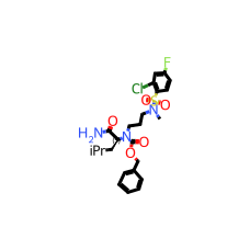 CC(C)C[C@@H](C(N)=O)N(CCCN(C)S(=O)(=O)c1ccc(F)cc1Cl)C(=O)OCc1ccccc1